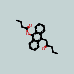 CCCC(=O)Cc1c2ccccc2c(OC(=O)CCC)c2ccccc12